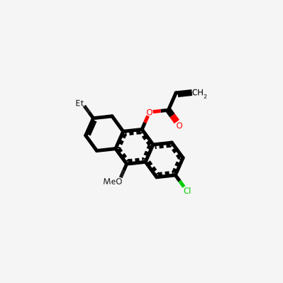 C=CC(=O)Oc1c2c(c(OC)c3cc(Cl)ccc13)CC=C(CC)C2